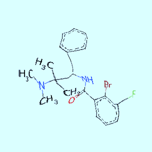 CN(C)C(C)(C)C(NC(=O)c1cccc(F)c1Br)c1ccccc1